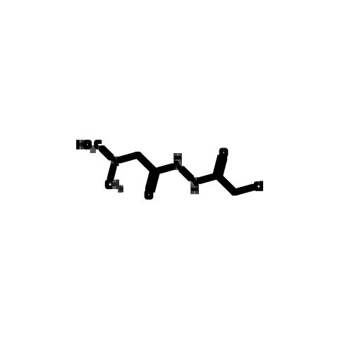 CN(CC(=O)NNC(=O)CCl)C(=O)O